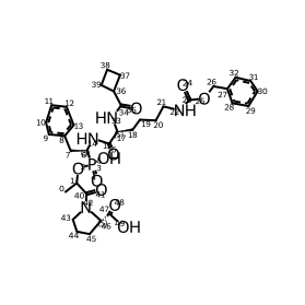 CC(OP(=O)(O)[C@@H](Cc1ccccc1)NC(=O)[C@H](CCCCNC(=O)OCc1ccccc1)NC(=O)C1CCC1)C(=O)N1CCC[C@H]1C(=O)O